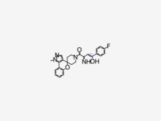 Cn1ncc2c1-c1ccccc1OC21CCN(C(=O)C(=N)/C=C(\O)c2ccc(F)cc2)CC1